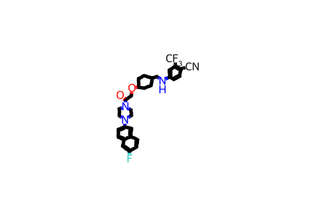 N#Cc1ccc(NCC2CCC(OCC(=O)N3CCN(c4ccc5cc(F)ccc5c4)CC3)CC2)cc1C(F)(F)F